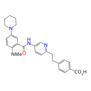 CNc1ccc(N2CCCCC2)cc1C(=O)Nc1ccc(CCc2ccc(C(=O)O)cc2)nc1